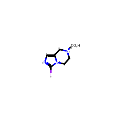 O=C(O)N1CCn2c(cnc2I)C1